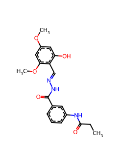 CCC(=O)Nc1cccc(C(=O)NN=Cc2c(O)cc(OC)cc2OC)c1